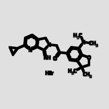 Br.CN(C)c1cc(C(=O)CN2Cc3ccc(C4CC4)nc3C2=N)cc2c1OCC2(C)C